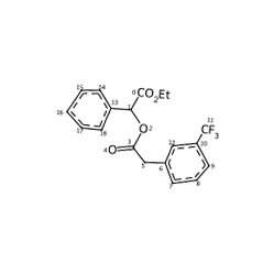 CCOC(=O)C(OC(=O)Cc1cccc(C(F)(F)F)c1)c1ccccc1